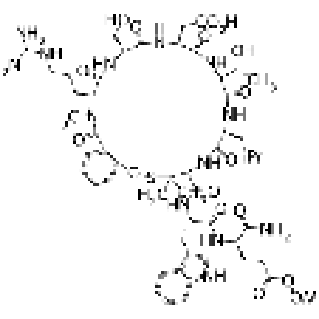 COOC(=O)CC[C@@H](NC(=O)[C@H](Cc1c[nH]c2ccccc12)NC(=O)C1NC(=O)[C@H](CC(C)C)NC(=O)[C@H]([C@@H](C)O)NC(=O)[C@H](CC(=O)O)NC(=O)[C@H](CO)NC(=O)[C@H](CCCNC(N)N)N(C)C(=O)c2ccccc2CSC1(C)C)C(N)=O